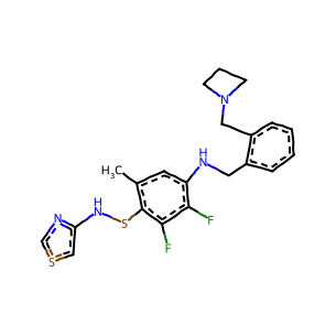 Cc1cc(NCc2ccccc2CN2CCC2)c(F)c(F)c1SNc1cscn1